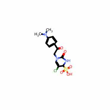 CN(C)c1ccc(C(=O)CN2C=C(Cl)C(S(=O)(=O)O)NC2=O)cc1